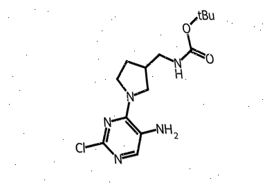 CC(C)(C)OC(=O)NCC1CCN(c2nc(Cl)ncc2N)C1